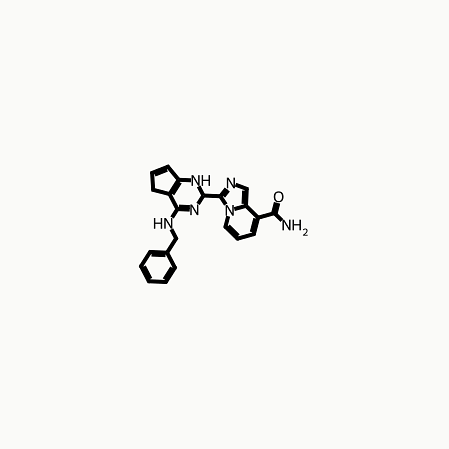 NC(=O)c1cccn2c(C3N=C(NCc4ccccc4)C4=C(C=CC4)N3)ncc12